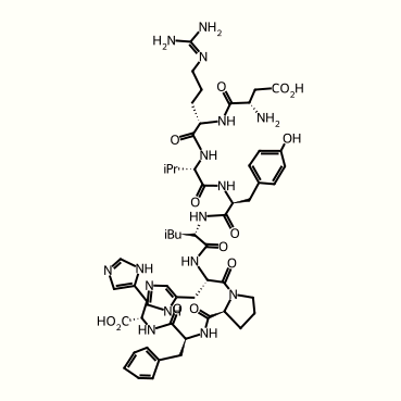 CC[C@H](C)[C@H](NC(=O)[C@H](Cc1ccc(O)cc1)NC(=O)[C@@H](NC(=O)[C@H](CCCN=C(N)N)NC(=O)[C@@H](N)CC(=O)O)C(C)C)C(=O)N[C@@H](Cc1cnc[nH]1)C(=O)N1CCC[C@H]1C(=O)N[C@@H](Cc1ccccc1)C(=O)N[C@@H](Cc1cnc[nH]1)C(=O)O